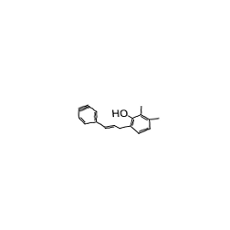 Cc1ccc(C/C=C/c2cc#ccc2)c(O)c1C